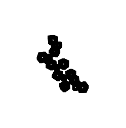 c1ccc(N(c2cccc(N(c3ccccc3)c3cccc4cc5c(cc34)oc3ccccc35)c2)c2ccc3c4ccccc4n(-c4ccc5oc6ccccc6c5c4)c3c2)cc1